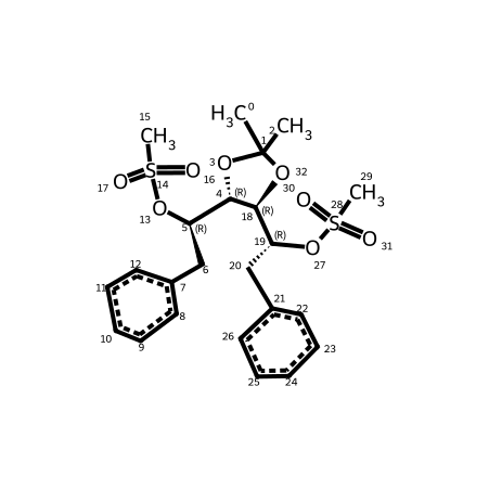 CC1(C)O[C@@H]([C@@H](Cc2ccccc2)OS(C)(=O)=O)[C@H]([C@@H](Cc2ccccc2)OS(C)(=O)=O)O1